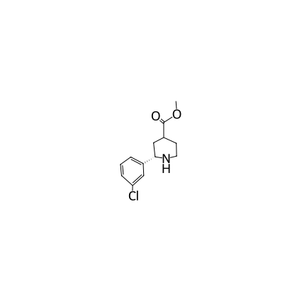 COC(=O)C1CCN[C@H](c2cccc(Cl)c2)C1